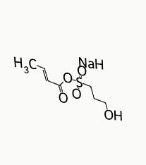 CC=CC(=O)OS(=O)(=O)CCCO.[NaH]